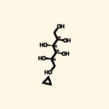 C1CC1.OC[C@@H](O)[C@@H](O)[C@H](O)[C@H](O)CO